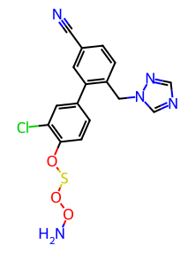 N#Cc1ccc(Cn2cncn2)c(-c2ccc(OSOON)c(Cl)c2)c1